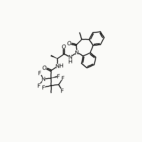 CC1C(=O)N(NC(=O)[C@H](C)NC(=O)[C@@](F)(N(F)F)C(C)(F)C(F)F)c2ccccc2-c2ccccc21